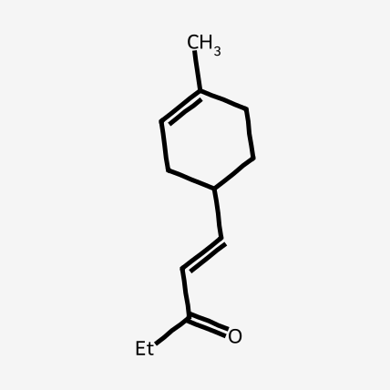 CCC(=O)C=CC1CC=C(C)CC1